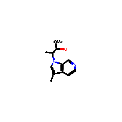 COC(=O)C(C)n1cc(C)c2ccncc21